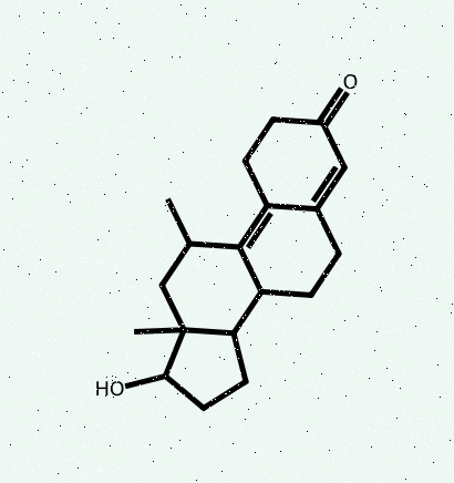 CC1CC2(C)C(O)CCC2C2CCC3=CC(=O)CCC3=C12